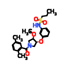 CCCS(=O)(=O)Nc1cccc(O[C@@H]2CN(C(=O)c3cc(C)ccc3C)C[C@H]2OC)c1